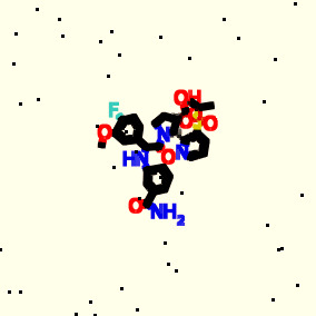 COc1cc(C(Nc2cccc(C(N)=O)c2)C(=O)N2CC[C@@H](C(=O)O)[C@@H]2c2ncccc2S(=O)(=O)C(C)C)ccc1F